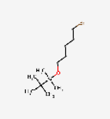 CC(C)(C)[Si](C)(C)OCCCCCBr